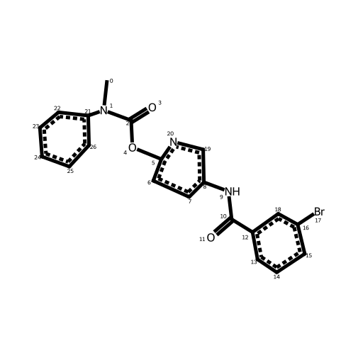 CN(C(=O)Oc1ccc(NC(=O)c2cccc(Br)c2)cn1)c1ccccc1